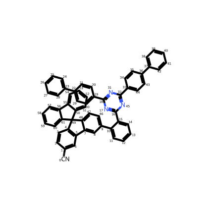 N#Cc1ccc2c(c1)-c1cc(-c3ccccc3-c3nc(-c4ccc(-c5ccccc5)cc4)nc(-c4ccc(-c5ccccc5)cc4)n3)ccc1C21c2ccccc2-c2ccccc21